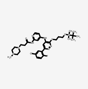 CN1CCN(CCC(=O)Nc2cc(Nc3cc(-c4cc(Cl)ccc4F)nnc3SCCCO[Si](C)(C)C(C)(C)C)ccn2)CC1